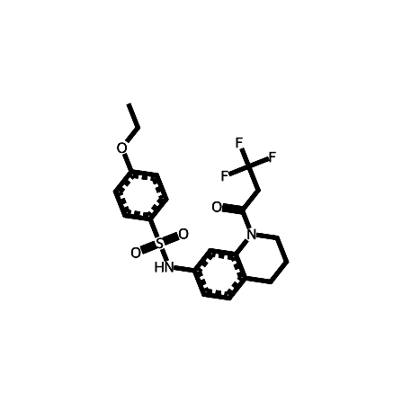 CCOc1ccc(S(=O)(=O)Nc2ccc3c(c2)N(C(=O)CC(F)(F)F)CCC3)cc1